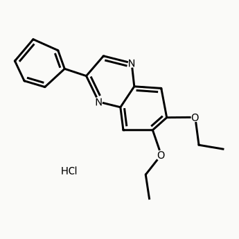 CCOc1cc2ncc(-c3ccccc3)nc2cc1OCC.Cl